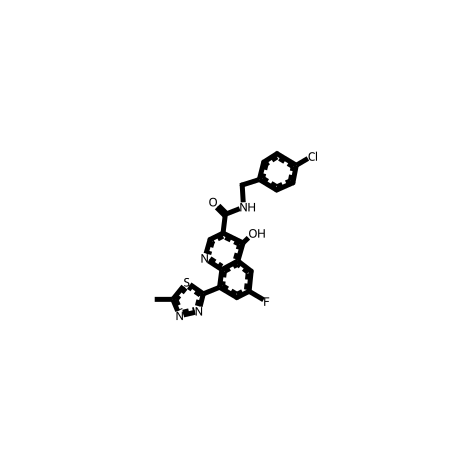 Cc1nnc(-c2cc(F)cc3c(O)c(C(=O)NCc4ccc(Cl)cc4)cnc23)s1